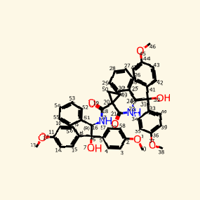 COc1ccc(C(O)(c2ccc(OC)cc2)[C@H](NC(=O)C2(C(=O)N[C@H](c3ccccc3)C(O)(c3ccc(OC)cc3)c3ccc(OC)cc3)CC2)c2ccccc2)cc1